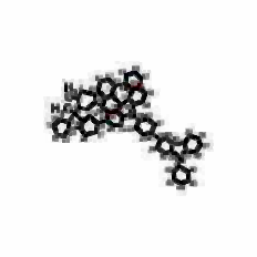 CC1C=CC=CC1C1(C)c2ccccc2-c2ccc(-c3ccc(N(c4ccc(-c5ccc6c(c5)c5ccccc5n6-c5ccccc5)cc4)c4ccccc4-c4cccc5cccc(-c6ccccc6)c45)cc3)cc21